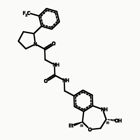 CC[C@@H]1OC[C@@H](O)Nc2ccc(CNC(=O)NCC(=O)N3CCCC3c3ccccc3C(F)(F)F)cc21